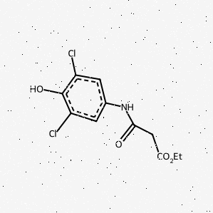 CCOC(=O)CC(=O)Nc1cc(Cl)c(O)c(Cl)c1